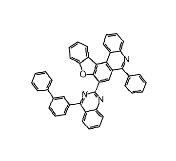 c1ccc(-c2cccc(-c3nc(-c4cc5c(-c6ccccc6)nc6ccccc6c5c5c4oc4ccccc45)nc4ccccc34)c2)cc1